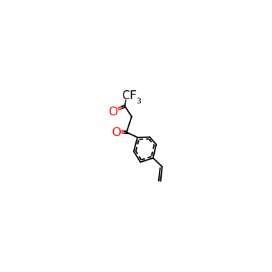 C=Cc1ccc(C(=O)CC(=O)C(F)(F)F)cc1